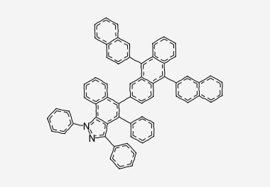 c1ccc(-c2nn(-c3ccccc3)c3c2c(-c2ccccc2)c(-c2ccc4c(-c5ccc6ccccc6c5)c5ccccc5c(-c5ccc6ccccc6c5)c4c2)c2ccccc23)cc1